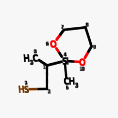 CC(CS)[Si]1(C)OCCCO1